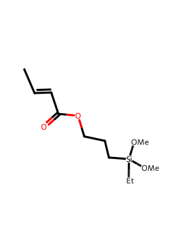 CC=CC(=O)OCCC[Si](CC)(OC)OC